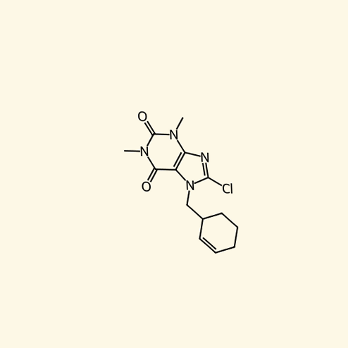 Cn1c(=O)c2c(nc(Cl)n2CC2C=CCCC2)n(C)c1=O